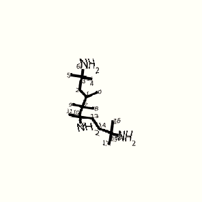 CC(CC(C)(C)N)C(C)(C)C(C)(N)CCC(C)(C)N